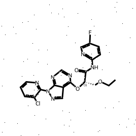 CCOC[C@H](Oc1ncnc2c1cnn2-c1ncccc1Cl)C(=O)Nc1ccc(F)cn1